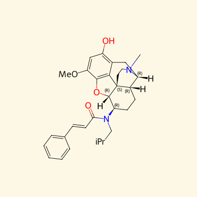 COc1cc(O)c2c3c1O[C@H]1[C@H](N(CC(C)C)C(=O)C=Cc4ccccc4)CC[C@H]4[C@@H](C2)N(C)CC[C@@]341